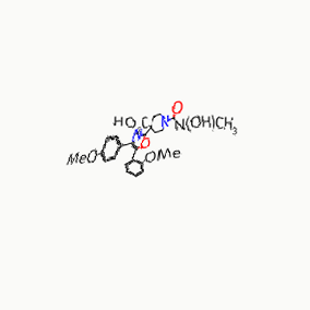 COc1ccc(-c2nc(C3(C(=O)O)CCN(C(=O)N(C)O)CC3)oc2-c2ccccc2OC)cc1